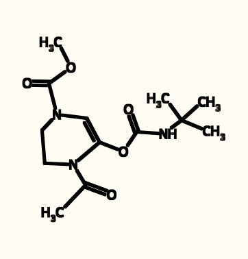 COC(=O)N1C=C(OC(=O)NC(C)(C)C)N(C(C)=O)CC1